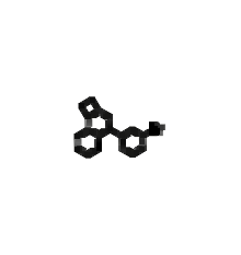 Brc1cccc(-c2cc3c(c4ccccc24)CC3)c1